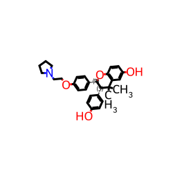 CC1(C)c2cc(O)ccc2O[C@@H](c2ccc(OCCN3CCCC3)cc2)[C@H]1c1ccc(O)cc1